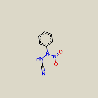 N#CNN(c1ccccc1)[N+](=O)[O-]